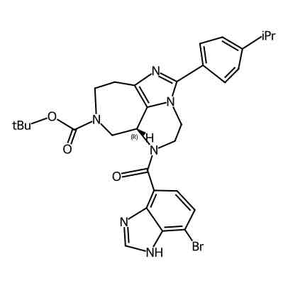 CC(C)c1ccc(-c2nc3c4n2CCN(C(=O)c2ccc(Br)c5[nH]cnc25)[C@@H]4CN(C(=O)OC(C)(C)C)CC3)cc1